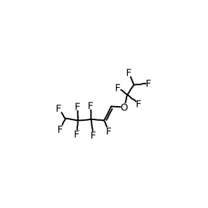 FC(=COC(F)(F)C(F)F)C(F)(F)C(F)(F)C(F)F